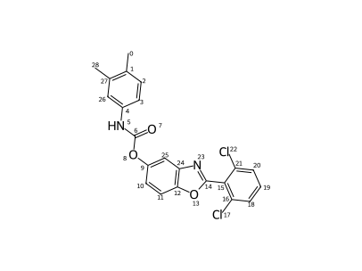 Cc1ccc(NC(=O)Oc2ccc3oc(-c4c(Cl)cccc4Cl)nc3c2)cc1C